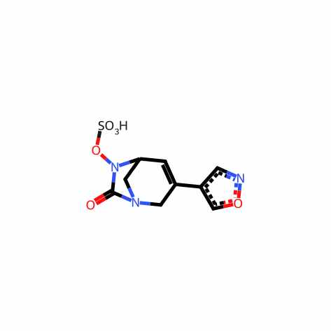 O=C1N2CC(c3cnoc3)=CC(C2)N1OS(=O)(=O)O